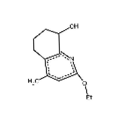 CCOc1cc(C)c2c(n1)C(O)CCC2